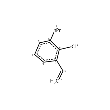 C=Cc1cccc(CCC)c1Cl